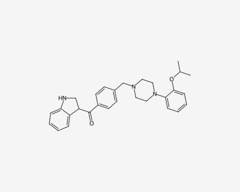 CC(C)Oc1ccccc1N1CCN(Cc2ccc(C(=O)C3CNc4ccccc43)cc2)CC1